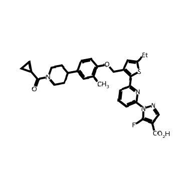 CCc1cc(COc2ccc(C3CCN(C(=O)C4CC4)CC3)cc2C)c(-c2cccc(-n3ncc(C(=O)O)c3F)n2)s1